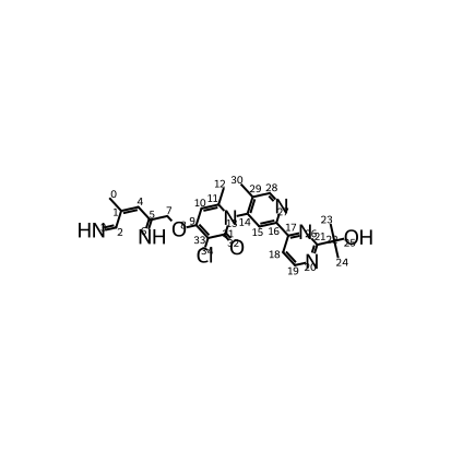 C/C(C=N)=C/C(=N)COc1cc(C)n(-c2cc(-c3ccnc(C(C)(C)O)n3)ncc2C)c(=O)c1Cl